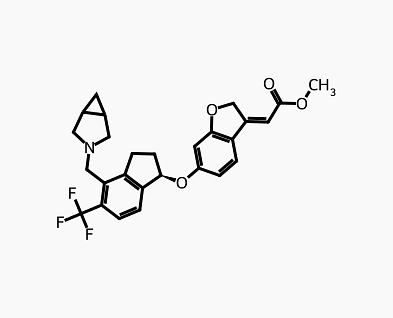 COC(=O)/C=C1\COc2cc(O[C@@H]3CCc4c3ccc(C(F)(F)F)c4CN3CC4CC4C3)ccc21